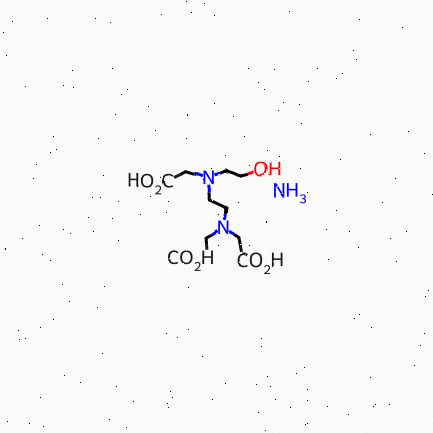 N.O=C(O)CN(CCO)CCN(CC(=O)O)CC(=O)O